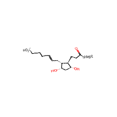 CCCCCCCC(=O)CC[C@@H]1[C@@H](C/C=C/CCCC(=O)O)[C@@H](O)C[C@H]1O